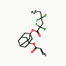 C=CC(=O)OC12CC3CC(C1)CC(OC(=O)C(F)(F)CC(F)(F)CC(F)(F)F)(C3)C2